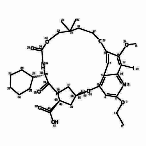 CCOc1cc2c3cc(c(OC)c(I)c3n1)CCCC(C)(C)COC(=O)N[C@@H](C1CCCCC1)C(=O)N1C[C@@H](C[C@H]1C(=O)O)O2